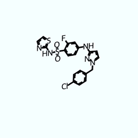 O=S(=O)(Nc1nccs1)c1ccc(Nc2ccn(Cc3ccc(Cl)cc3)n2)cc1F